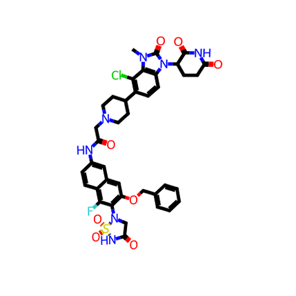 Cn1c(=O)n(C2CCC(=O)NC2=O)c2ccc(C3CCN(CC(=O)Nc4ccc5c(F)c(N6CC(=O)NS6(=O)=O)c(OCc6ccccc6)cc5c4)CC3)c(Cl)c21